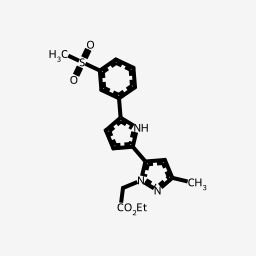 CCOC(=O)Cn1nc(C)cc1-c1ccc(-c2cccc(S(C)(=O)=O)c2)[nH]1